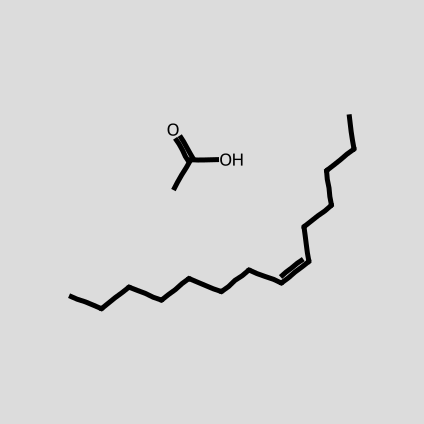 CC(=O)O.CCCCC/C=C\CCCCCCC